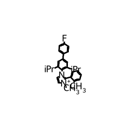 Cc1ccccc1-c1n(-c2c(C(C)C)cc(-c3ccc(F)cc3)cc2C(C)C)cc[n+]1C